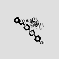 C[Si](C)(C)N[Si](C)(C)C.N#Cc1ccc(N2CCN(C3CCN(C(Cc4ccccc4)C(=O)O)CC3)CC2)cc1.[LiH]